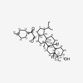 CC(C)C1CC[C@]2(C(=O)C(=O)N3CCN(C)CC3)CC[C@]3(C)C(CC[C@@H]4[C@@]5(C)CC[C@H](O)C(C)(C)[C@@H]5CC[C@]43C)C12